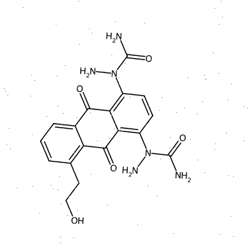 NC(=O)N(N)c1ccc(N(N)C(N)=O)c2c1C(=O)c1cccc(CCO)c1C2=O